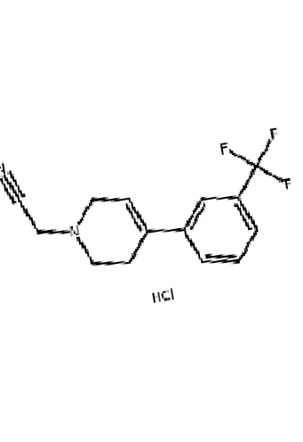 Cl.N#CCN1CC=C(c2cccc(C(F)(F)F)c2)CC1